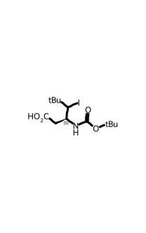 CC(C)(C)OC(=O)N[C@@H](CC(=O)O)C(I)C(C)(C)C